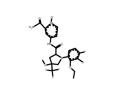 CCOc1c(N2CC(OC)(C(F)(F)F)CC2C(=O)Nc2cc[n+]([O-])c(C(N)=O)c2)ccc(F)c1F